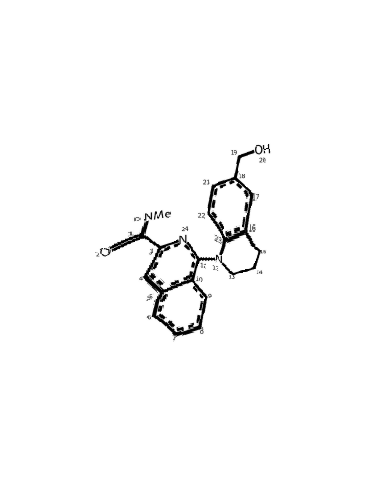 CNC(=O)c1cc2ccccc2c(N2CCCc3cc(CO)ccc32)n1